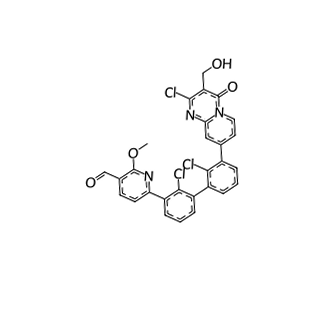 COc1nc(-c2cccc(-c3cccc(-c4ccn5c(=O)c(CO)c(Cl)nc5c4)c3Cl)c2Cl)ccc1C=O